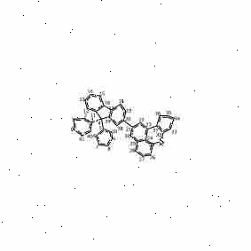 c1ccc(C2(c3ccccc3)c3ccccc3-c3ccc(-c4cc5c6c(cccc6c4)Sc4ccccc4-5)cc32)cc1